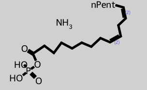 CCCCC/C=C\C/C=C\CCCCCCCC(=O)OP(=O)(O)O.N